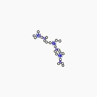 c1ccc(-c2cccc(-c3nc(-c4ccc(-c5ccc6ccc7c(c6c5)c5ccccc5n7-c5ccc(-c6nc(-c7ccccc7)nc(-c7cccc8ccccc78)n6)cc5)cc4)nc(-c4ccc(-n5c6ccccc6c6c7ccc(-c8ccccc8-c8nc(-c9ccccc9)nc(-c9ccc(-n%10c%11ccccc%11c%11c%12ccccc%12ccc%11%10)cc9)n8)cc7ccc65)cc4)n3)c2)cc1